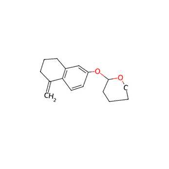 C=C1CCCc2cc(OC3CCCCO3)ccc21